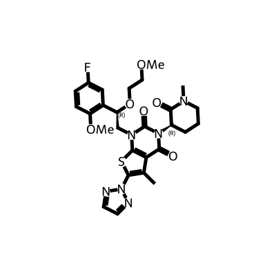 COCCO[C@@H](Cn1c(=O)n([C@@H]2CCCN(C)C2=O)c(=O)c2c(C)c(-n3nccn3)sc21)c1cc(F)ccc1OC